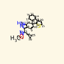 CO/N=C(/c1n[nH]c2c1C=CC(c1ccccc1)(c1cccs1)C2)C1CC1